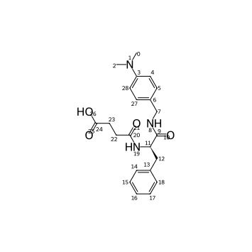 CN(C)c1ccc(CNC(=O)[C@@H](Cc2ccccc2)NC(=O)CCC(=O)O)cc1